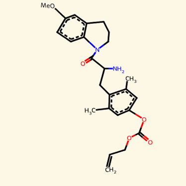 C=CCOC(=O)Oc1cc(C)c(CC(N)C(=O)N2CCCc3cc(OC)ccc32)c(C)c1